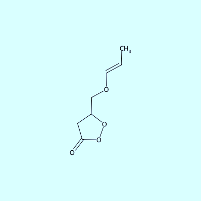 CC=COCC1CC(=O)OO1